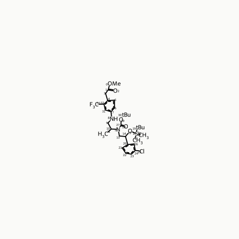 COC(=O)Cc1ccc(NCC(C)N(CC(O[Si](C)(C)C(C)(C)C)c2cccc(Cl)c2)C(=O)OC(C)(C)C)cc1C(F)(F)F